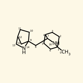 CC12CCC(CC1)C(CC13CCC(CN1)C3)N2